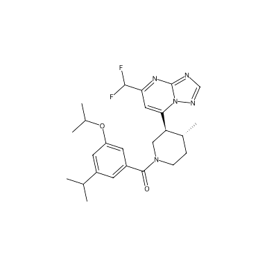 CC(C)Oc1cc(C(=O)N2CC[C@@H](C)[C@H](c3cc(C(F)F)nc4ncnn34)C2)cc(C(C)C)c1